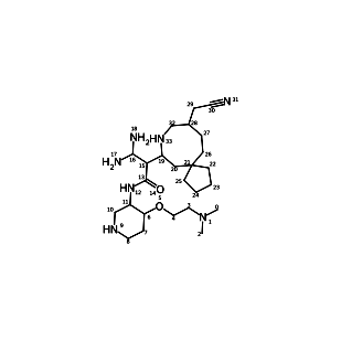 CN(C)CCOC1CCNCC1NC(=O)C(C(N)N)C1CC2(CCCC2)CCC(CC#N)CN1